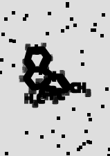 CC(C)=CN1c2ccccc2CC[C]1(C)[Re]